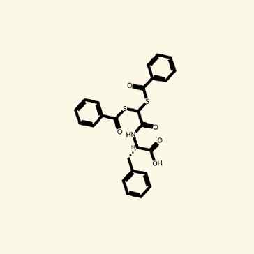 O=C(SC(SC(=O)c1ccccc1)C(=O)N[C@@H](Cc1ccccc1)C(=O)O)c1ccccc1